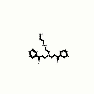 NCCSSCCN(CCC(=S)c1ccccc1)CCC(=S)c1ccccc1